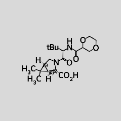 CC(C)(C)C(NC(=O)C1COCCO1)C(=O)N1C[C@H]2[C@@H]([C@H]1C(=O)O)C2(C)C